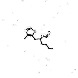 CCCCC(Cc1scnc1C)OC=O